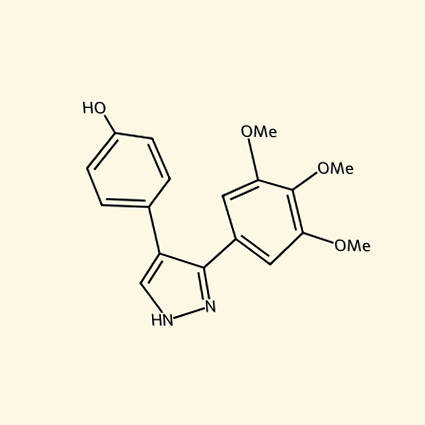 COc1cc(-c2n[nH]cc2-c2ccc(O)cc2)cc(OC)c1OC